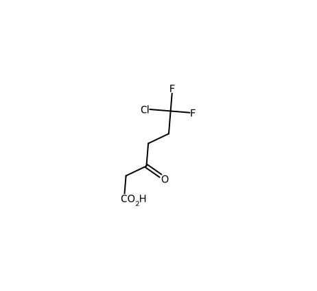 O=C(O)CC(=O)CCC(F)(F)Cl